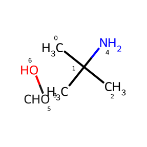 CC(C)(C)N.O=CO